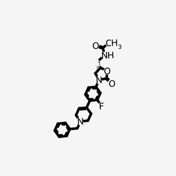 CC(=O)NC[C@H]1CN(c2ccc(C3=CCN(Cc4ccccc4)CC3)c(F)c2)C(=O)O1